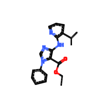 CCOC(=O)c1c(Nc2ncccc2C(C)C)ncn1-c1ccccc1